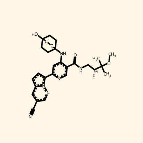 COC(C)(C)[C@H](F)CNC(=O)c1cnc(-c2ccc3cc(C#N)cnn23)cc1NC12CCC(O)(CC1)CC2